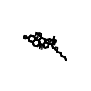 CCCCCOCC(=O)[C@@]1(OC(C)=O)CC[C@H]2C3=C(C(O)C[C@@]21C)[C@@]1(C)C=CC(=O)C=C1CC3